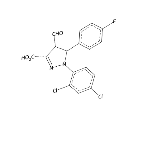 O=CC1C(C(=O)O)=NN(c2ccc(Cl)cc2Cl)C1c1ccc(F)cc1